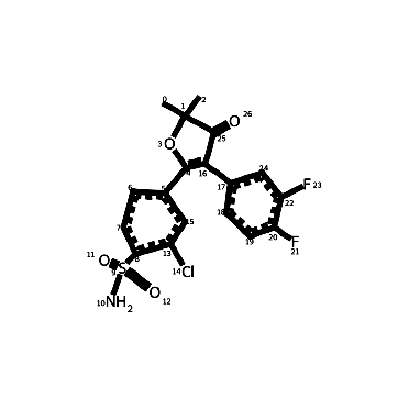 CC1(C)OC(c2ccc(S(N)(=O)=O)c(Cl)c2)=C(c2ccc(F)c(F)c2)C1=O